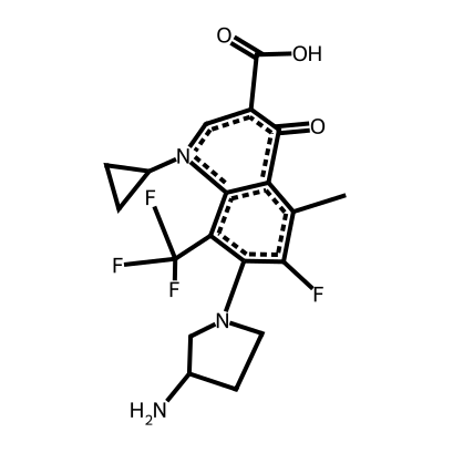 Cc1c(F)c(N2CCC(N)C2)c(C(F)(F)F)c2c1c(=O)c(C(=O)O)cn2C1CC1